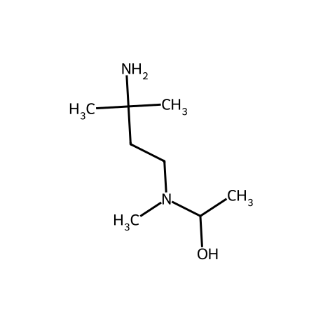 CC(O)N(C)CCC(C)(C)N